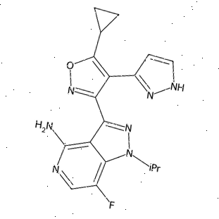 CC(C)n1nc(-c2noc(C3CC3)c2-c2cc[nH]n2)c2c(N)ncc(F)c21